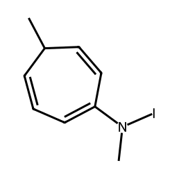 CC1C=CC=C(N(C)I)C=C1